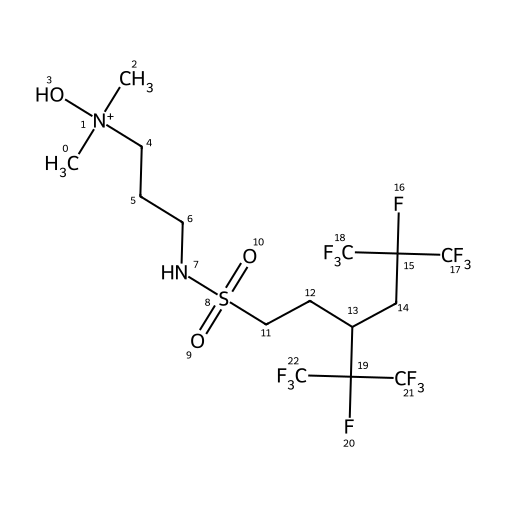 C[N+](C)(O)CCCNS(=O)(=O)CCC(CC(F)(C(F)(F)F)C(F)(F)F)C(F)(C(F)(F)F)C(F)(F)F